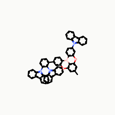 Cc1cc2c3c(c1)Oc1cc(-n4c5ccccc5c5ccccc54)ccc1B3c1ccc(-c3cccc(-n4c5ccccc5c5ccccc54)c3-n3c4ccccc4c4ccccc43)cc1O2